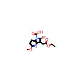 CCOC(=O)Cc1c(Br)n(C(=O)O)c2ccc(OC)nc12